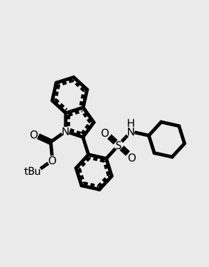 CC(C)(C)OC(=O)n1c(-c2ccccc2S(=O)(=O)NC2CCCCC2)cc2ccccc21